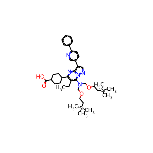 CCc1c(C2CCC(C(=O)O)CC2)nc2c(-c3ccc(-c4ccccc4)nc3)cnn2c1N(COCC[Si](C)(C)C)COCC[Si](C)(C)C